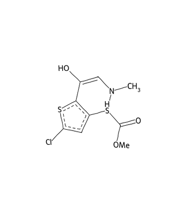 COC(=O)[SH]1c2cc(Cl)sc2C(O)=CN1C